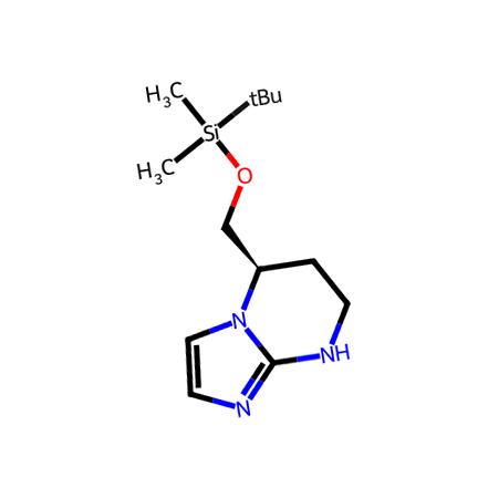 CC(C)(C)[Si](C)(C)OC[C@H]1CCNc2nccn21